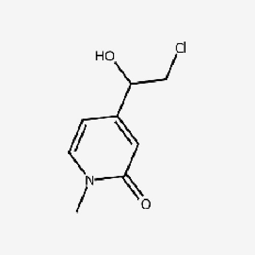 Cn1ccc(C(O)CCl)cc1=O